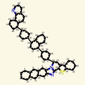 c1ccc2cc3cc4c(cc3cc2c1)nc1c2sc3ccccc3c2cc(-c2ccc(-c3ccc(-c5ccc(-c6cccc7c6ccc6cccnc67)cc5)c5ccccc35)cc2)n41